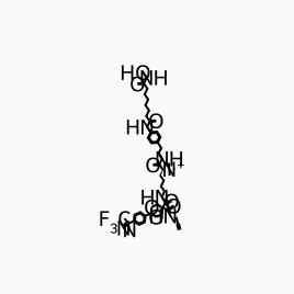 C#CCNC(=O)C1(C(=O)NCCCC[C@@H](C(=O)NCCc2ccc(NC(=O)CCCCCCC(=O)NO)cc2)[N+](C)(C)C)COC(c2ccc(C3(C(F)(F)F)N=N3)cc2)OC1